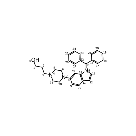 OCCCN1CCN(c2ccc3ccn(C(c4ccccc4)c4ccccc4)c3c2)CC1